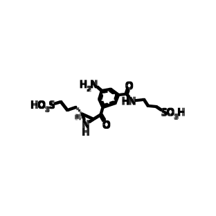 Nc1cc(C(=O)NCCCS(=O)(=O)O)cc(C(=O)C2N[C@@H]2CCCS(=O)(=O)O)c1